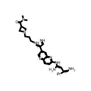 CC(C)C(=C/N)/C=C(\N)Nc1ccc2ncc(/C(C=N)=C/NCCCN3CC(C(=O)N(C)C)C3)cc2n1